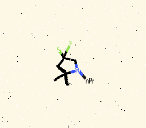 CCCN1CC(F)(F)CC1(C)C